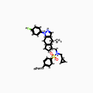 CCCCCc1ccc(S(=O)(=O)N(CC2CC2)C[C@H]2CCC3=C2[C@@H](C)c2cnn(-c4ccc(F)cc4)c2C3)cc1